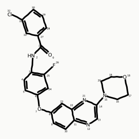 O=C(Nc1ccc(Oc2ccc3ncc(N4CCOCC4)nc3c2)cc1F)c1cccc(Cl)c1